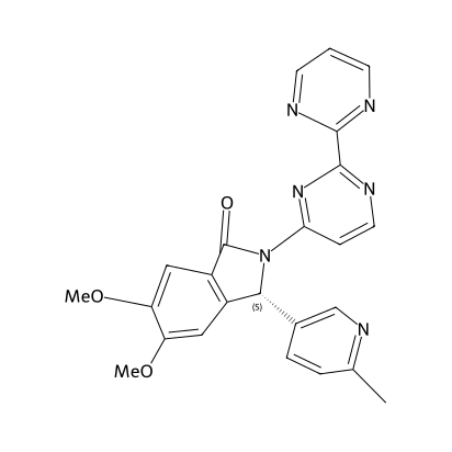 COc1cc2c(cc1OC)[C@@H](c1ccc(C)nc1)N(c1ccnc(-c3ncccn3)n1)C2=O